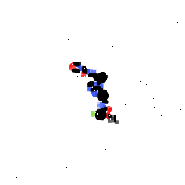 COc1ccc(F)cc1C(=O)NCc1ccc(-c2nc(C3(CCCNC(=O)CN4CCOCC4)CCCC3)n3ccnc(N)c23)cc1